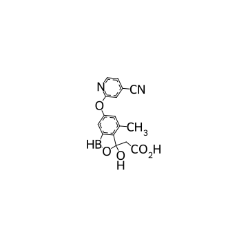 Cc1cc(Oc2cc(C#N)ccn2)cc2c1C(O)(CC(=O)O)OB2